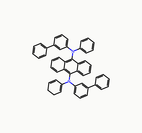 C1=CC(N(c2cccc(-c3ccccc3)c2)c2c3ccccc3c(N(c3ccccc3)c3cccc(-c4ccccc4)c3)c3ccccc23)=CCC1